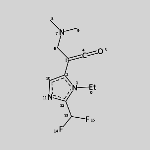 CCn1c(C(=C=O)CN(C)C)cnc1C(F)F